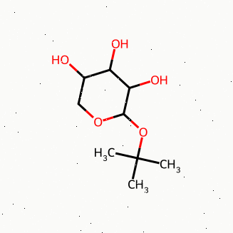 CC(C)(C)OC1OCC(O)C(O)C1O